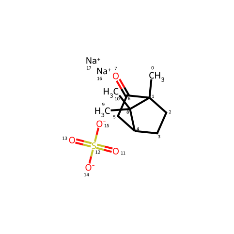 CC12CCC(CC1=O)C2(C)C.O=S(=O)([O-])[O-].[Na+].[Na+]